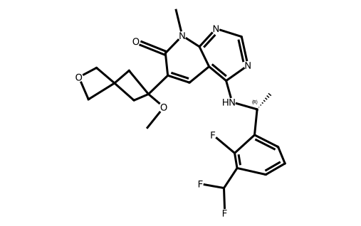 COC1(c2cc3c(N[C@H](C)c4cccc(C(F)F)c4F)ncnc3n(C)c2=O)CC2(COC2)C1